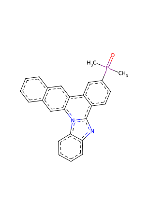 CP(C)(=O)c1ccc2c(c1)c1cc3ccccc3cc1n1c3ccccc3nc21